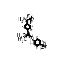 CC1(C)C(CNc2ccc(C(F)(F)F)cc2)C1c1ccc(C(N)C(F)(F)F)cc1